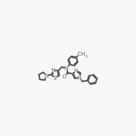 Cc1ccc(N(Cc2csc(N3CCCC3)n2)C(=O)c2cn(Cc3ccccc3)cn2)cc1